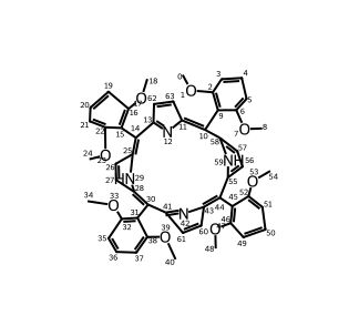 COc1cccc(OC)c1-c1c2nc(c(-c3c(OC)cccc3OC)c3ccc([nH]3)c(-c3c(OC)cccc3OC)c3nc(c(-c4c(OC)cccc4OC)c4ccc1[nH]4)C=C3)C=C2